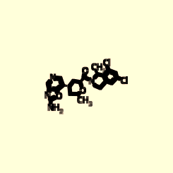 C[C@H]1C[C@H](c2cncc3nc(N)oc23)C[C@@H](C(=O)N2CCc3cc(Cl)cc(Cl)c3[C@@H]2C)O1